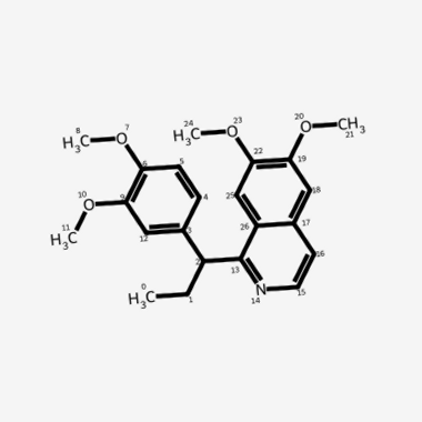 CCC(c1ccc(OC)c(OC)c1)c1nccc2cc(OC)c(OC)cc12